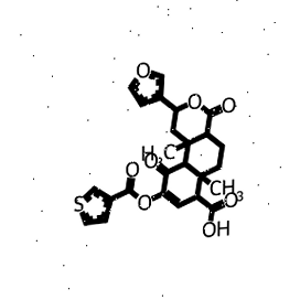 CC12CCC3C(=O)OC(c4ccoc4)CC3(C)C1C(=O)C(OC(=O)c1ccsc1)=CC2C(=O)O